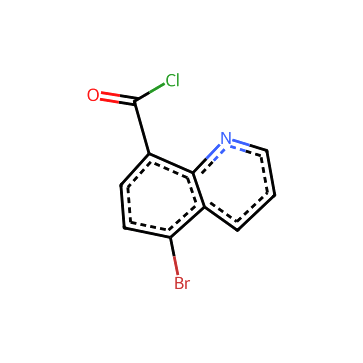 O=C(Cl)c1ccc(Br)c2cccnc12